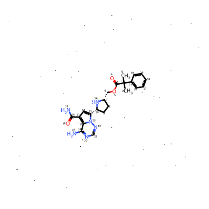 CC(C)(C(=O)OC[C@@H]1CC[C@H](c2cc(C(N)=O)c3c(N)ncnn23)N1)c1ccccc1